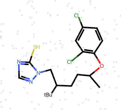 CC(CCC(Cn1ncnc1S)C(C)(C)C)Oc1ccc(Cl)cc1Cl